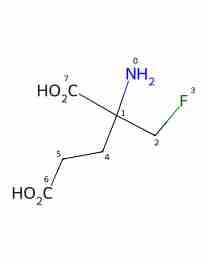 NC(CF)(CCC(=O)O)C(=O)O